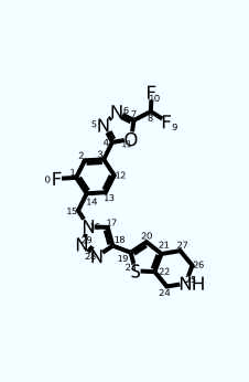 Fc1cc(-c2nnc(C(F)F)o2)ccc1Cn1cc(-c2cc3c(s2)CNCC3)nn1